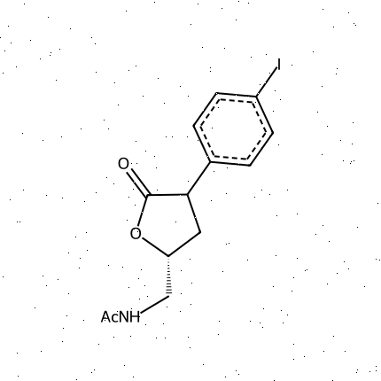 CC(=O)NC[C@H]1CC(c2ccc(I)cc2)C(=O)O1